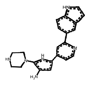 Nc1cc(-c2ccnc(-c3ccc4[nH]ccc4c3)c2)[nH]c1N1CCNCC1